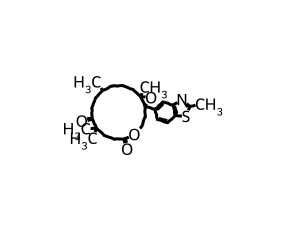 Cc1nc2cc(C34CCOC(=O)CCC(C)(C)C(=O)CCC(C)CCCC3(C)O4)ccc2s1